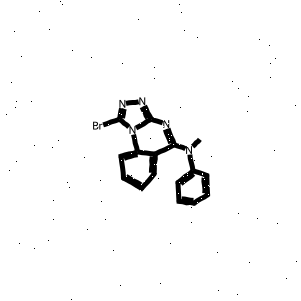 CN(c1ccccc1)c1nc2nnc(Br)n2c2ccccc12